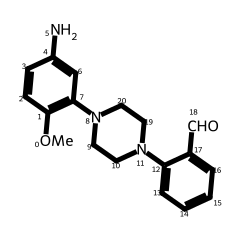 COc1ccc(N)cc1N1CCN(c2ccccc2C=O)CC1